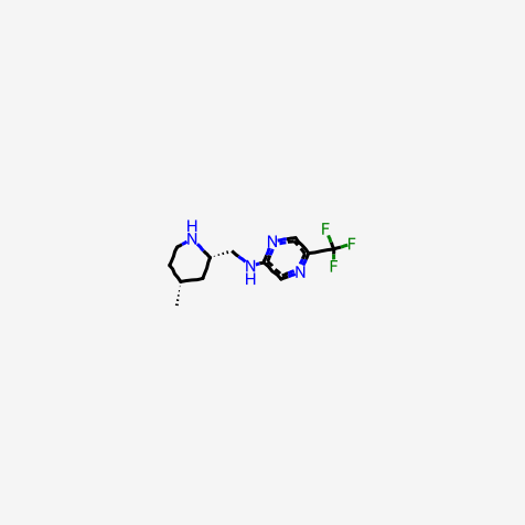 C[C@@H]1CCN[C@H](CNc2cnc(C(F)(F)F)cn2)C1